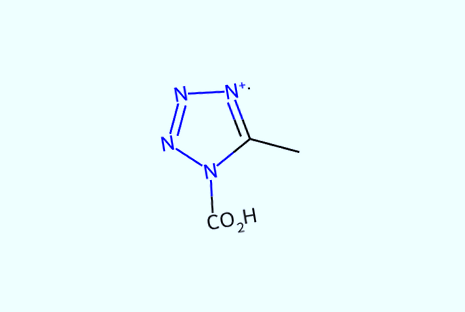 CC1=[N+]N=NN1C(=O)O